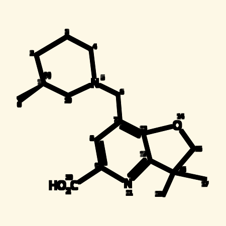 C[C@H]1CCCN(Cc2cc(C(=O)O)nc3c2OCC3(C)C)C1